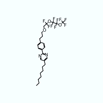 CCCCCCCCc1cnc(-c2ccc(CCCOCC(F)(F)OC(F)(F)C(F)(F)OC(F)(F)F)cc2)nc1